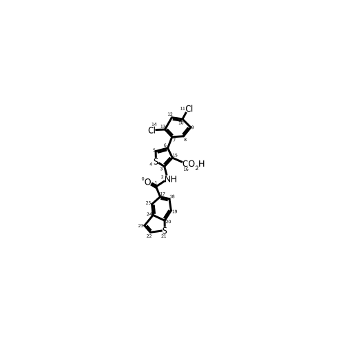 O=C(Nc1scc(-c2ccc(Cl)cc2Cl)c1C(=O)O)c1ccc2sccc2c1